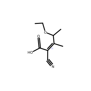 CCOC(C)/C(C)=C(/C#N)C(=O)O